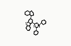 c1ccc(-c2cc(-c3cc(-c4cccc5ccccc45)cc4sc5ccccc5c34)nc(-c3ccccc3)n2)cc1